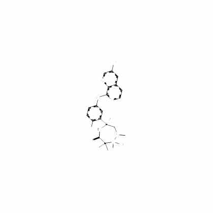 CN1C[C@@](C)(c2cc(Nc3nccc4cc(C#N)cnc34)ccc2F)NC(=N)C(C)(C)S1(O)O